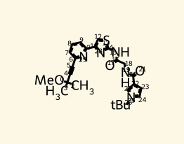 COC(C)(C)C#Cc1cccc(-c2csc(NC(=O)CNC(=O)c3ccn(C(C)(C)C)c3)n2)n1